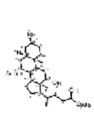 COC(O)CC[C@@H](C)[C@H]1CC[C@H]2C3C(C[C@H](O)[C@]12C)[C@@]1(C)CC[C@H](N)C[C@H]1C[C@H]3OC(C)=O